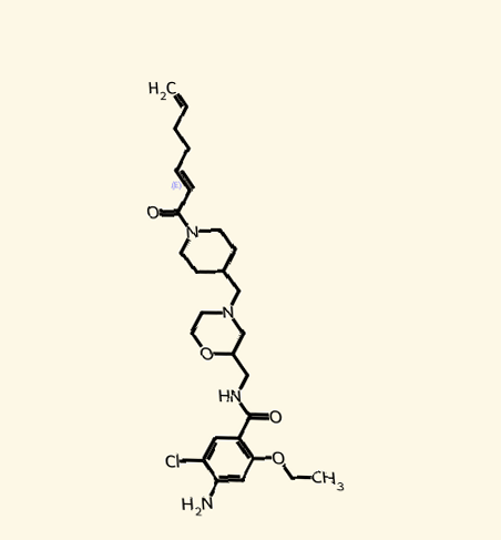 C=CCC/C=C/C(=O)N1CCC(CN2CCOC(CNC(=O)c3cc(Cl)c(N)cc3OCC)C2)CC1